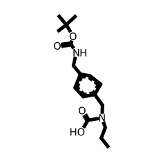 CCCN(Cc1ccc(CNC(=O)OC(C)(C)C)cc1)C(=O)O